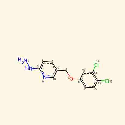 NNc1ccc(COc2ccc(Cl)c(Cl)c2)cn1